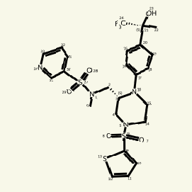 CN(C[C@H]1CN(S(=O)(=O)c2cccs2)CCN1c1ccc([C@](C)(O)C(F)(F)F)cc1)S(=O)(=O)c1cccnc1